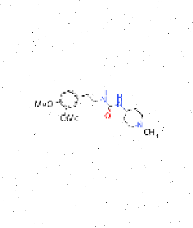 COc1ccc(CCNC(=O)NC2CCN(C)CC2)cc1OC